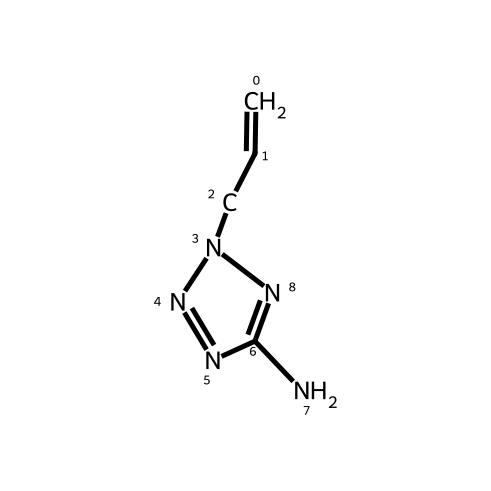 C=CCn1nnc(N)n1